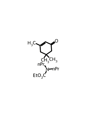 CC1=CC(=O)CC(C)(C)C1.CCCN(CCC)C(=O)OCC